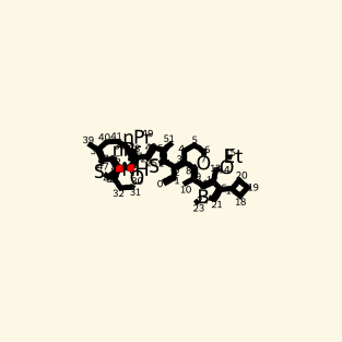 C=C/C(=C1/CCCO/C1=C(/C)C1=C(COCC)C(C2CCC2)=CB1C)c1sc(\C(C)=C2/OCCC/C2=C(CCC)\C2=C(\C)CCCCN/C=C/S2)c(CCC)c1C